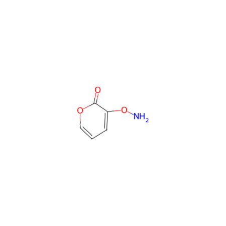 NOc1cccoc1=O